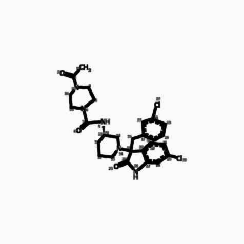 CC(=O)N1CCN(C(=O)N[C@H]2CCCN(C3(Cc4cccc(Cl)c4)C(=O)Nc4cc(Cl)ccc43)C2)CC1